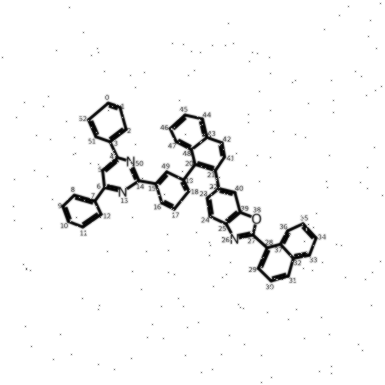 c1ccc(-c2cc(-c3ccccc3)nc(-c3cccc(-c4c(-c5ccc6nc(-c7cccc8ccccc78)oc6c5)ccc5ccccc45)c3)n2)cc1